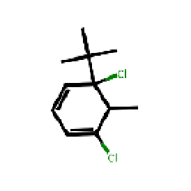 CC1C(Cl)=CC=CC1(Cl)C(C)(C)C